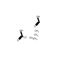 C.C.C.C.C.O=CO.O=CO